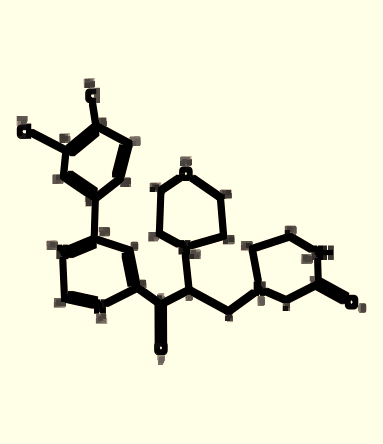 O=C1CN(CC(C(=O)c2cc(-c3ccc(Cl)c(Cl)c3)ncn2)N2CCOCC2)CCN1